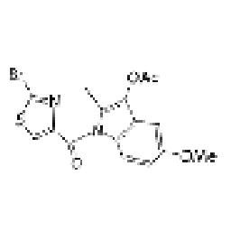 COc1ccc2c(c1)c(OC(C)=O)c(C)n2C(=O)c1csc(Br)n1